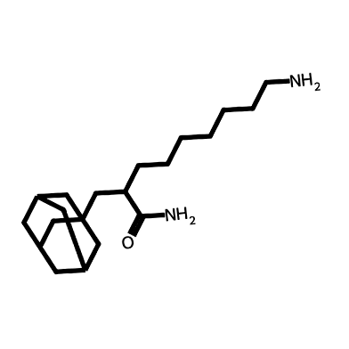 NCCCCCCCC(CC12CC3CC(CC(C3)C1)C2)C(N)=O